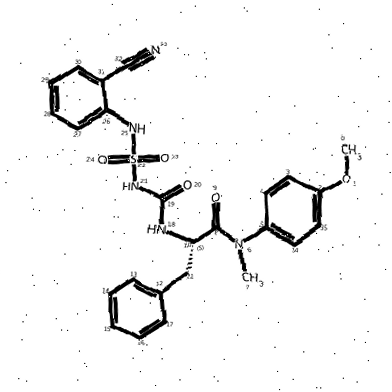 COc1ccc(N(C)C(=O)[C@H](Cc2ccccc2)NC(=O)NS(=O)(=O)Nc2ccccc2C#N)cc1